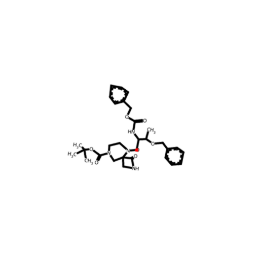 CC(OCc1ccccc1)C(NC(=O)OCc1ccccc1)C(=O)N1CCN(C(=O)OC(C)(C)C)CC12CNC2=O